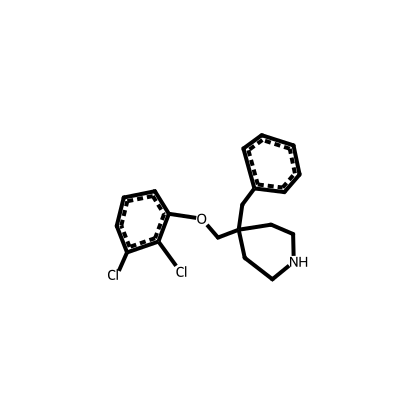 Clc1cccc(OCC2(Cc3ccccc3)CCNCC2)c1Cl